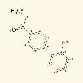 CCC(=O)c1ccc(-c2ccccc2F)cc1